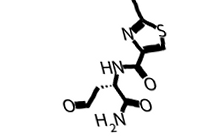 Cc1nc(C(=O)N[C@@H](CC=O)C(N)=O)cs1